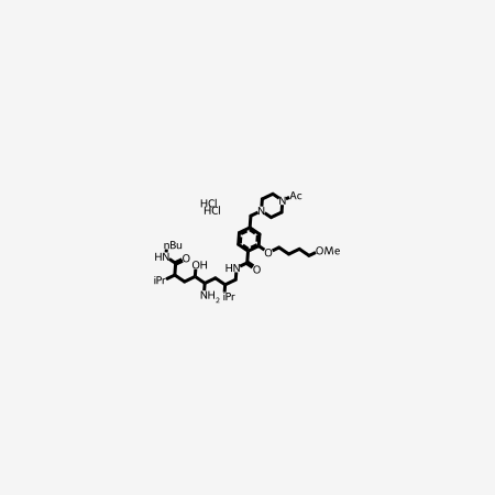 CCCCNC(=O)C(CC(O)C(N)CC(CNC(=O)c1ccc(CN2CCN(C(C)=O)CC2)cc1OCCCCOC)C(C)C)C(C)C.Cl.Cl